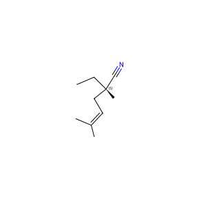 CC[C@](C)(C#N)CC=C(C)C